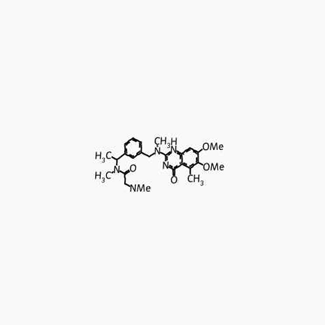 CNCC(=O)N(C)C(C)c1cccc(CN(C)c2nc(=O)c3c(C)c(OC)c(OC)cc3[nH]2)c1